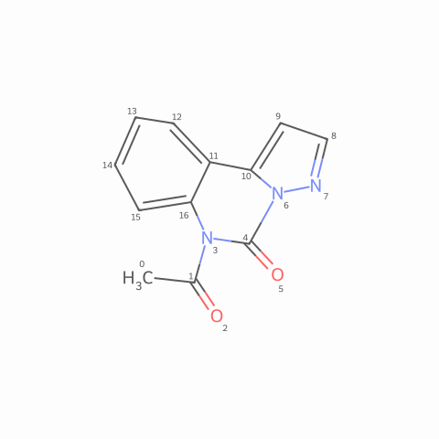 CC(=O)n1c(=O)n2nccc2c2ccccc21